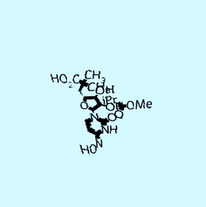 CC(C)(C[C@H]1O[C@@H](n2ccc(=NO)[nH]c2=O)[C@H](O)[C@@H]1O)C(=O)O.COC(=O)C(C)C